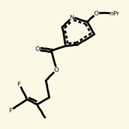 CCCOc1ccc(C(=O)OCCC(C)=C(F)F)cn1